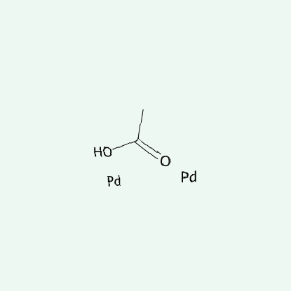 CC(=O)O.[Pd].[Pd]